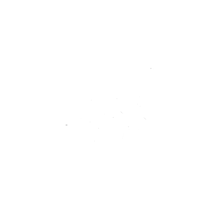 CC(C)(C)c1ccc(N(c2ccc3c(c2)oc2ccccc23)c2cc3c(c4c2C=CC4(C)C)-c2c(cc(N(c4ccc(C(C)(C)C)cc4)c4ccc5c(c4)oc4ccccc45)c4c5c(oc24)NCC=C5)C3(c2ccccc2)c2ccccc2)cc1